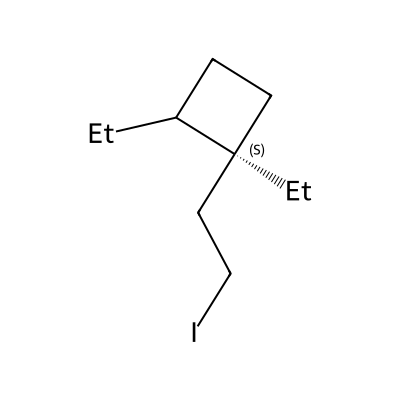 CCC1CC[C@@]1(CC)CCI